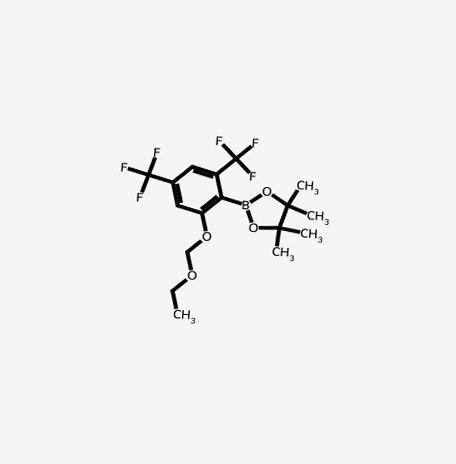 CCOCOc1cc(C(F)(F)F)cc(C(F)(F)F)c1B1OC(C)(C)C(C)(C)O1